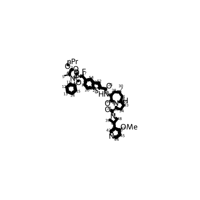 CCCOC(=O)[C@H](C)N[P@](=O)(Oc1ccccc1)[C@@H](F)c1ccc2sc(C(=O)N[C@H]3C[C@H](C)C[C@H]4CC[C@@H](C(=O)N5CC(c6cnccc6OC)C5)N4C3=O)cc2c1